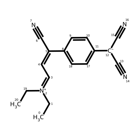 CC[N+](=C/C=C(/C#N)c1ccc([C-](C#N)C#N)cc1)CC